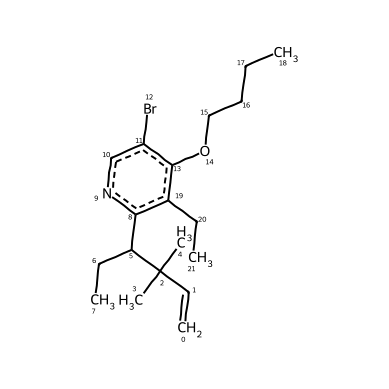 C=CC(C)(C)C(CC)c1ncc(Br)c(OCCCC)c1CC